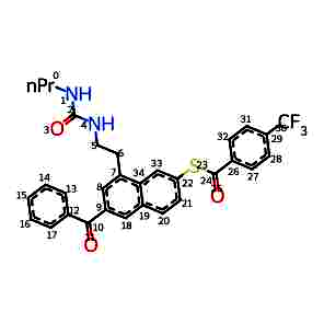 CCCNC(=O)NCCc1cc(C(=O)c2ccccc2)cc2ccc(SC(=O)c3ccc(C(F)(F)F)cc3)cc12